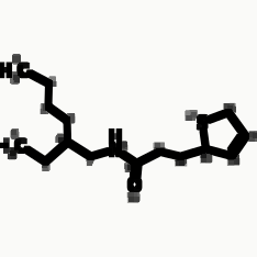 CCCCC(CC)CNC(=O)CCC1C=CCS1